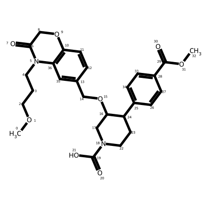 COCCCN1C(=O)COc2ccc(COC3CN(C(=O)O)CCC3c3ccc(C(=O)OC)cc3)cc21